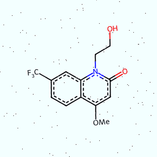 COc1cc(=O)n(CCO)c2cc(C(F)(F)F)ccc12